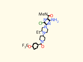 CC[C@H]1CN(c2nc(N)c(C(=O)NC)nc2Cl)CCN1C1CCN(C(=O)c2ccc(OC(F)(F)F)cc2)CC1